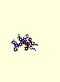 N#Cc1ccc2c(c1)B1c3cc(C#N)ccc3N(c3ccccc3)c3cc(-c4ccc5c(c4)c4ccc(-c6nc(-c7ccccc7)nc(-c7ccccc7)n6)cc4n5-c4ccc(C(F)(F)F)cc4-c4nc(-c5ccccc5)nc(-c5ccccc5)n4)cc(c31)N2c1ccccc1